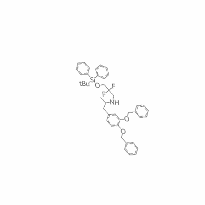 CC(Cc1ccc(OCc2ccccc2)c(OCc2ccccc2)c1)NCC(F)(F)CO[Si](c1ccccc1)(c1ccccc1)C(C)(C)C